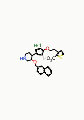 Cl.O=C(O)c1sccc1CCOc1ccc(C2CCNCC2OCc2ccc3ccccc3c2)cc1